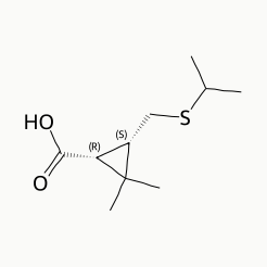 CC(C)SC[C@H]1[C@@H](C(=O)O)C1(C)C